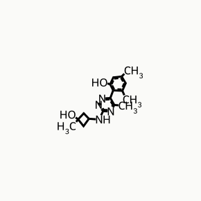 Cc1cc(C)c(-c2nnc(NC3CC(C)(O)C3)nc2C)c(O)c1